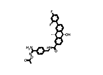 CC(=O)O/N=C(/N)c1ccc(CNC(=O)c2ccc3c(c2)[C@H](C)c2cc(-c4ccc(F)cc4F)ccc2[C@@H]3O)cc1